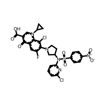 O=C(O)c1cn(C2CC2)c2c(Cl)c(N3CCC(N(c4cccc(Cl)n4)S(=O)(=O)c4ccc([N+](=O)[O-])cc4)C3)c(F)cc2c1=O